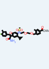 COC(=O)c1ccc(COCCOCCN(c2cc3oc(C4=CC(C)C(F)C=C4)c(C(N)=O)c3cc2C2CC2)S(C)(=O)=O)c(C)c1